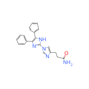 NC(=O)CCc1cn(-c2nc(-c3ccccc3)c(-c3ccccc3)[nH]2)cn1